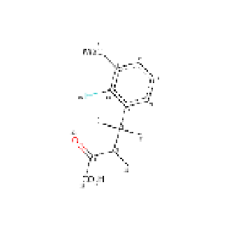 COc1cccc(C(C)(C)C(C)C(=O)C(=O)O)c1F